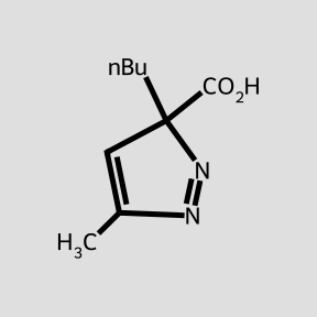 CCCCC1(C(=O)O)C=C(C)N=N1